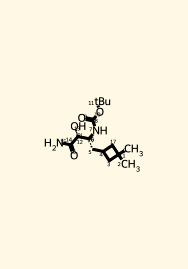 CC1(C)CC(C[C@@H](NC(=O)OC(C)(C)C)[C@@H](O)C(N)=O)C1